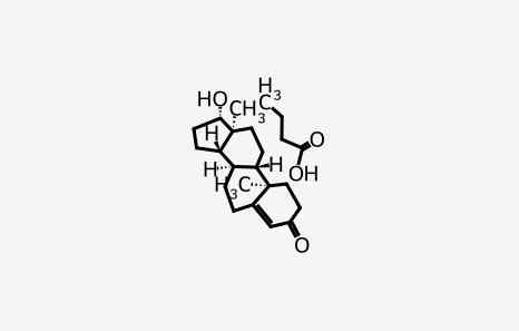 CCCC(=O)O.C[C@]12CC[C@H]3[C@@H](CCC4=CC(=O)CC[C@@]43C)[C@@H]1CC[C@@H]2O